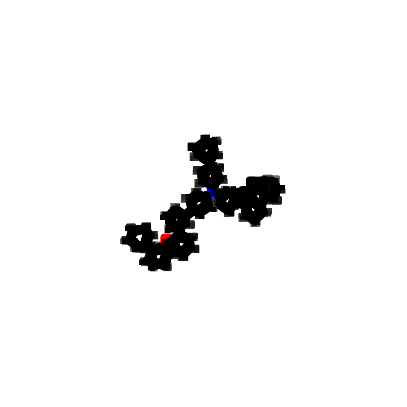 CC1(C)c2c(C3=CC=C(N(c4ccc(-c5ccccc5)cc4)c4ccc(-c5cccc(-c6cccc7c6oc6c(C8=CCCCC8)cccc67)c5)cc4)CC3)cccc2C2C=CCCC21